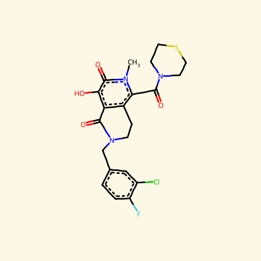 Cn1c(C(=O)N2CCSCC2)c2c(c(O)c1=O)C(=O)N(Cc1ccc(F)c(Cl)c1)CC2